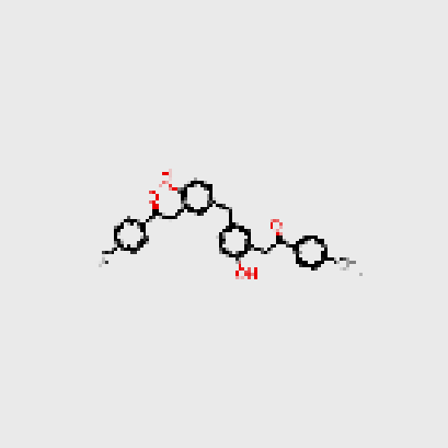 Cc1ccc(C(=O)Cc2cc(Cc3ccc(O)c(CC(=O)c4ccc(C)cc4)c3)ccc2O)cc1